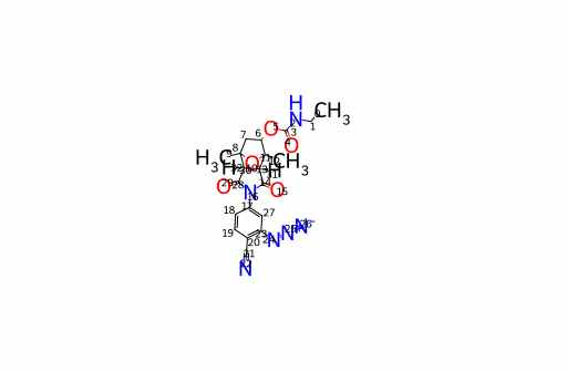 CCNC(=O)O[C@H]1CC2(C)O[C@@]1(C)[C@@H]1C(=O)N(c3ccc(C#N)c(N=[N+]=[N-])c3)C(=O)[C@@H]12